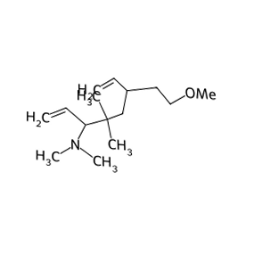 C=CC(CCOC)CC(C)(C)C(C=C)N(C)C